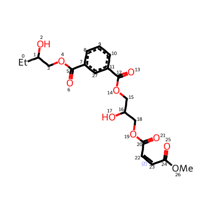 CCC(O)COC(=O)c1cccc(C(=O)OCC(O)COC(=O)/C=C\C(=O)OC)c1